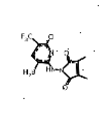 Bc1cc(C(F)(F)F)c(Cl)nc1NN1C(=O)C(C)=C(C)C1=O